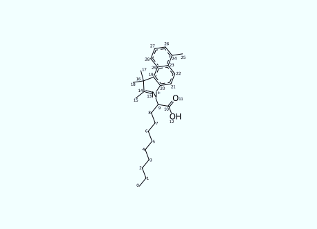 CCCCCCCCCC(C(=O)O)[N+]1=C(C)C(C)(C)c2c1ccc1c(C)cccc21